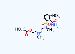 CN(CCOC(=O)C(=O)O)CCN(C)S(=O)(=O)c1cccc([N+](=O)[O-])c1C(N)=O